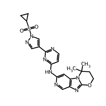 CC1(C)CCOc2nc3cnc(Nc4ccnc(-c5cnn(S(=O)(=O)C6CC6)c5)n4)cc3n21